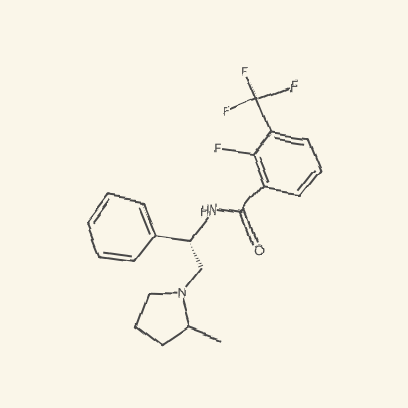 CC1CCCN1C[C@@H](NC(=O)c1cccc(C(F)(F)F)c1F)c1ccccc1